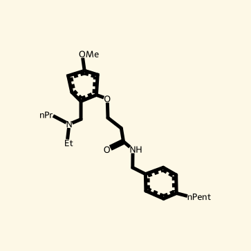 CCCCCc1ccc(CNC(=O)CCOc2cc(OC)ccc2CN(CC)CCC)cc1